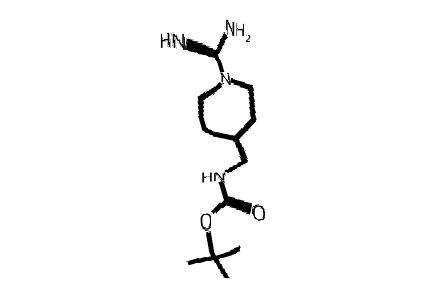 CC(C)(C)OC(=O)NCC1CCN(C(=N)N)CC1